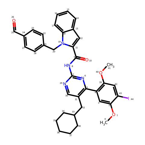 COc1cc(-c2nc(NC(=O)c3cc4ccccc4n3Cc3ccc(C=O)cc3)ncc2CC2CCCCC2)c(OC)cc1I